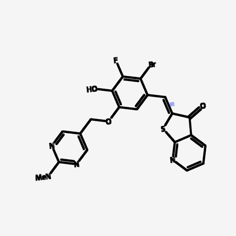 CNc1ncc(COc2cc(/C=C3\Sc4ncccc4C3=O)c(Br)c(F)c2O)cn1